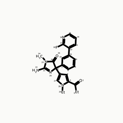 CCC(=O)c1cc(C2(c3cccc(-c4cccnc4F)c3)N=C(N)N(C)C2=O)cn1CC